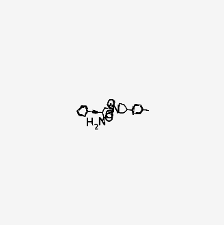 Cc1ccc(C2CCN(S(=O)(=O)CC(C#Cc3ccccc3)C(N)=O)CC2)cc1